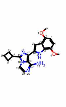 COc1ccc(OC)c2[nH]c(-c3nc(C4CCC4)n4ccnc(N)c34)cc12